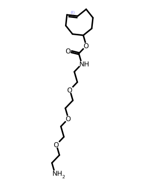 NCCOCCOCCOCCNC(=O)OC1CC/C=C/CCC1